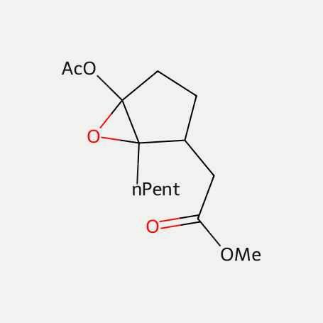 CCCCCC12OC1(OC(C)=O)CCC2CC(=O)OC